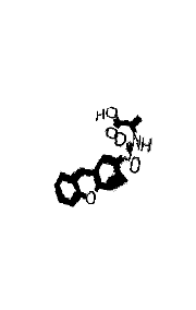 CC(NS(=O)(=O)c1ccc2c(c1)Cc1ccccc1O2)C(=O)O